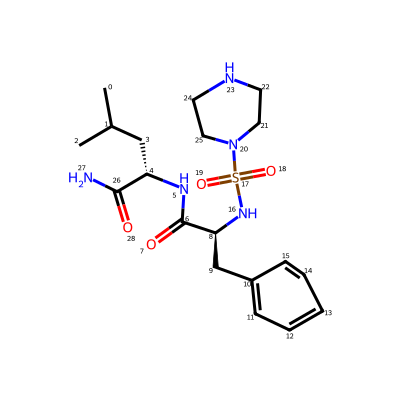 CC(C)C[C@H](NC(=O)[C@H](Cc1ccccc1)NS(=O)(=O)N1CCNCC1)C(N)=O